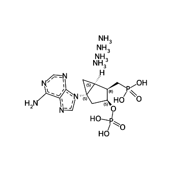 N.N.N.N.Nc1ncnc2c1ncn2[C@@]12C[C@H](OP(=O)(O)O)[C@H](CP(=O)(O)O)[C@@H]1C2